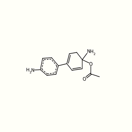 CC(=O)OC1(N)C=CC(c2ccc(N)cc2)=CC1